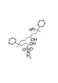 CCCC(C)(CCC(O)CCCC(C)(CCC(O)S(N)(=O)=O)c1ccccc1)c1ccccc1